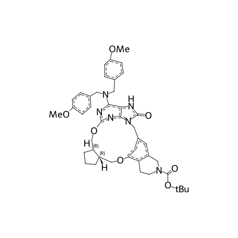 COc1ccc(CN(Cc2ccc(OC)cc2)c2nc3nc4c2[nH]c(=O)n4Cc2cc4c(c(c2)OC[C@@H]2CCC[C@H]2CO3)CCN(C(=O)OC(C)(C)C)C4)cc1